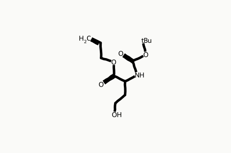 C=CCOC(=O)C(CCO)NC(=O)OC(C)(C)C